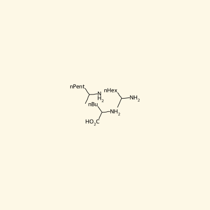 CCCCC(N)C(=O)O.CCCCCC(C)N.CCCCCCC(C)N